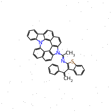 C=C(c1ccccc1)c1c(/N=C(\C)n2c3ccc4cccc5c4c3c3c4c(ccc6c7ccccc7n5c64)ccc32)sc2ccccc12